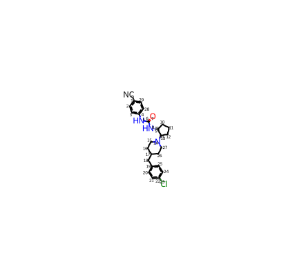 N#Cc1ccc(NC(=O)N[C@@H]2CCC[C@H]2N2CCC(Cc3ccc(Cl)cc3)CC2)cc1